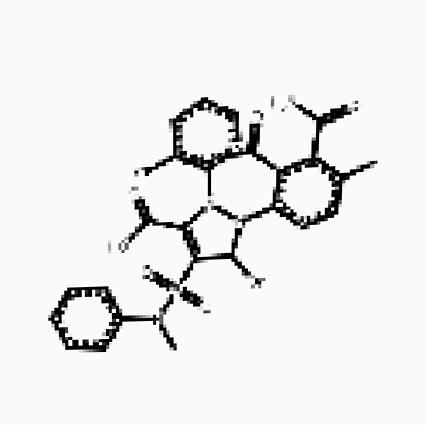 Cc1ccc(N2C(Br)C(S(=O)(=O)N(C)c3ccccc3)=C(C(=O)O)N2c2ncccc2Cl)c(C(N)=O)c1C(N)=O